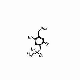 CCC(C)(CC)Cc1cc(Br)c(CC(C)(C)C)cc1Br